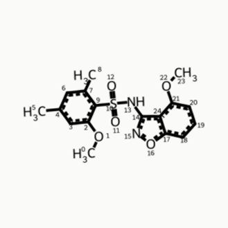 COc1cc(C)cc(C)c1S(=O)(=O)Nc1noc2cccc(OC)c12